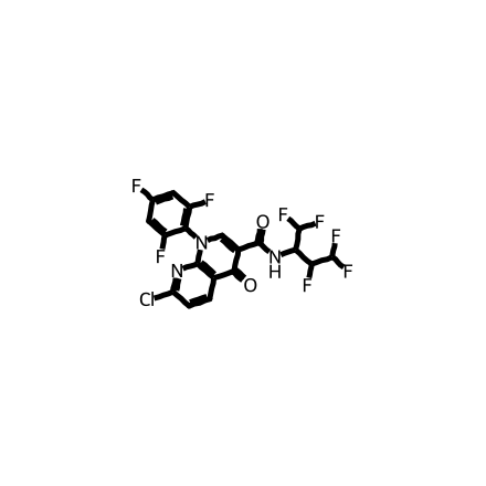 O=C(NC(C(F)F)C(F)C(F)F)c1cn(-c2c(F)cc(F)cc2F)c2nc(Cl)ccc2c1=O